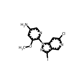 COc1cc(N)cnc1-n1nc(I)c2cnc(Cl)cc21